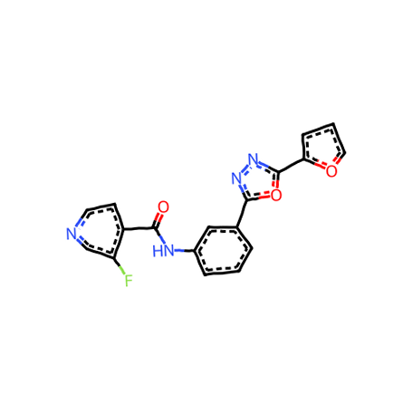 O=C(Nc1cccc(-c2nnc(-c3ccco3)o2)c1)c1ccncc1F